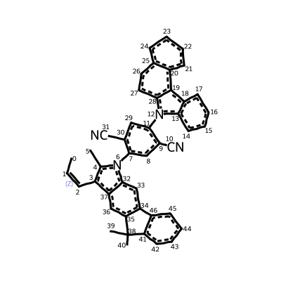 C/C=C\c1c(C)n(-c2cc(C#N)c(-n3c4ccccc4c4c5ccccc5ccc43)cc2C#N)c2cc3c(cc12)C(C)(C)c1ccccc1-3